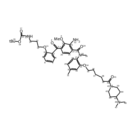 COc1c(C(=O)c2ccccc2OCCCNC(=O)OC(C)(C)C)ccc(C(=O)N(C)c2ccc(C)cc2OCCCCCC(=O)N2CCC(N(C)C)CC2)c1N